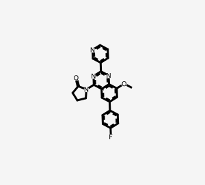 COc1cc(-c2ccc(F)cc2)cc2c(N3CCCC3=O)nc(-c3cccnc3)nc12